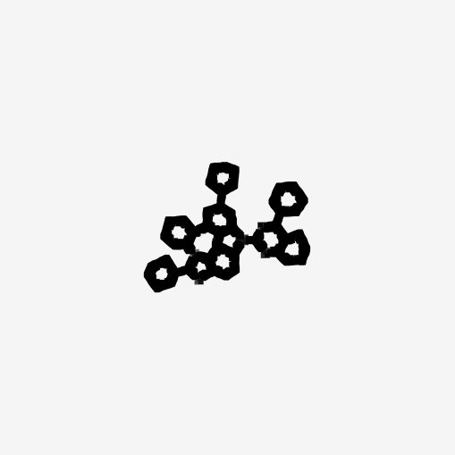 c1ccc(-c2cc3c4ccccc4n4c(-c5ccccc5)nc5ccc6c(c3c(c2)n6-c2nc(-c3ccccc3)c3ccccc3n2)c54)cc1